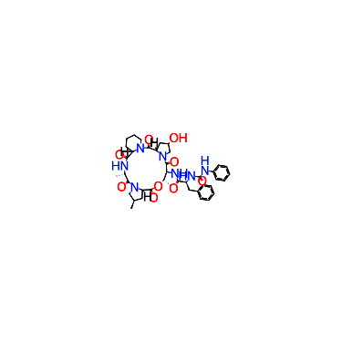 C[C@@H]1C[C@H]2C(=O)O[C@@H](C)[C@H](NC(=O)[C@H](Cc3ccccc3)NC(=O)Nc3ccccc3)C(=O)N3C[C@H](O)C[C@H]3C(=O)N3CCCC[C@H]3C(=O)N[C@@H](C)C(=O)N2C1